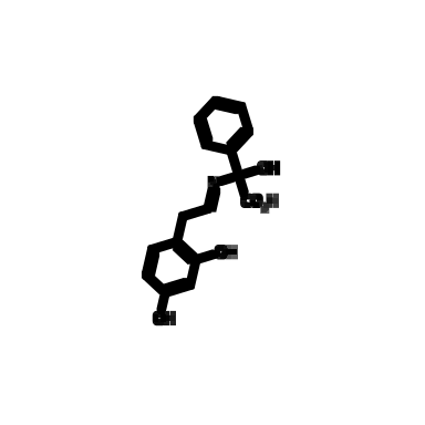 O=C(O)C(O)(N=CCc1ccc(O)cc1O)c1ccccc1